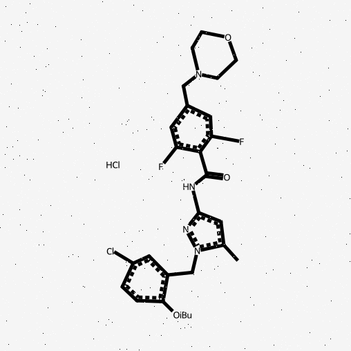 Cc1cc(NC(=O)c2c(F)cc(CN3CCOCC3)cc2F)nn1Cc1cc(Cl)ccc1OCC(C)C.Cl